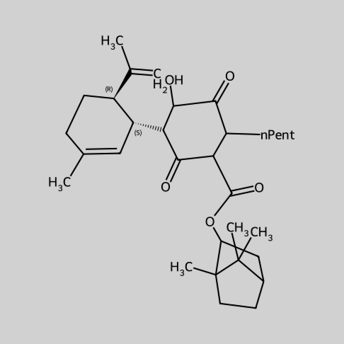 C=C(C)[C@@H]1CCC(C)=C[C@H]1C1C(=O)C(C(=O)OC2CC3CCC2(C)C3(C)C)C(CCCCC)C(=O)C1O